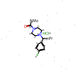 CCCC(c1ccc(F)cc1)N1CCN(C(=O)NC)CC1.Cl